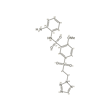 COc1ccc(S(=O)(=O)CCn2ncnn2)cc1S(=O)(=O)Nc1ccccc1N